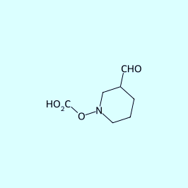 O=CC1CCCN(OC(=O)O)C1